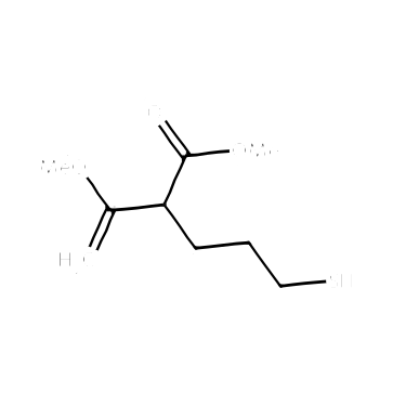 C=C(OC)C(CCCS)C(=O)OC